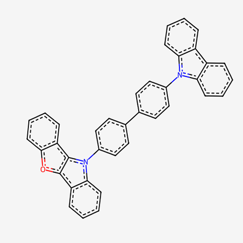 c1ccc2c(c1)oc1c3ccccc3n(-c3ccc(-c4ccc(-n5c6ccccc6c6ccccc65)cc4)cc3)c21